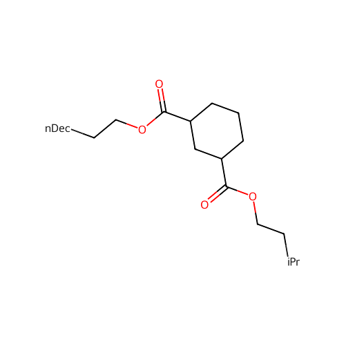 CCCCCCCCCCCCOC(=O)C1CCCC(C(=O)OCCC(C)C)C1